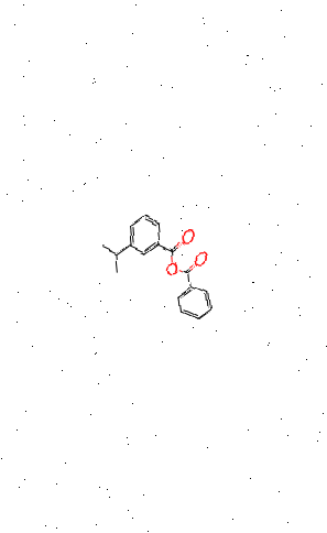 CC(C)c1cccc(C(=O)OC(=O)c2ccccc2)c1